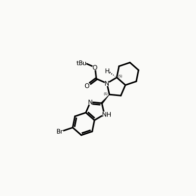 CC(C)(C)OC(=O)N1[C@H](c2nc3cc(Br)ccc3[nH]2)CC2CCCC[C@@H]21